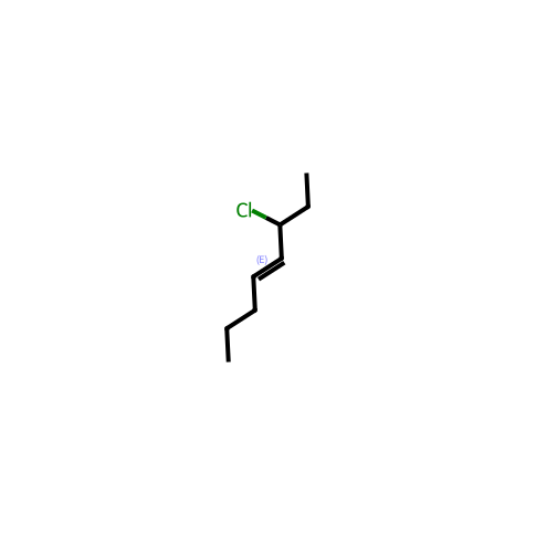 CCC/C=C/C(Cl)CC